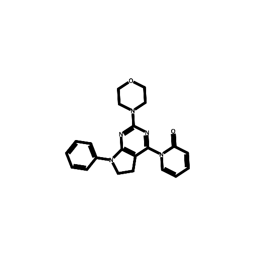 O=c1ccccn1-c1nc(N2CCOCC2)nc2c1CCN2c1ccccc1